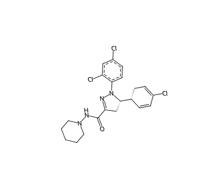 O=C(NN1CCCCC1)C1=NN(c2ccc(Cl)cc2Cl)[C@H]([C@H]2C=CC(Cl)=CC2)C1